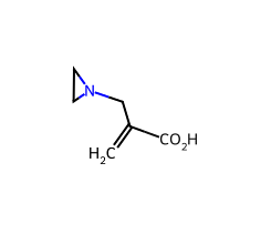 C=C(CN1CC1)C(=O)O